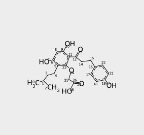 CC(C)CCc1c(O)cc(O)c(C(=O)CCc2ccc(O)cc2)c1OCC(=O)O